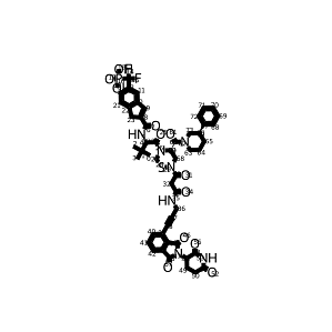 CC(C)(C)[C@H](NC(=O)C1=Cc2cc(C(F)(F)P(=O)(O)O)ccc2C1)C(=O)N1CSN(C(=O)CC(=O)NCC#Cc2cccc3c2C(=O)N(C2CCC(=O)NC2=O)C3=O)C[C@H]1C(=O)N1CCC[C@H](c2ccccc2)C1